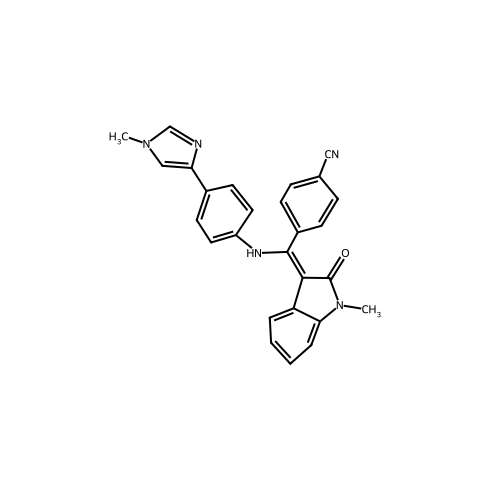 CN1C(=O)C(=C(Nc2ccc(-c3cn(C)cn3)cc2)c2ccc(C#N)cc2)c2ccccc21